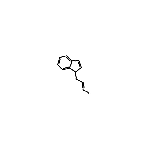 O/N=C/CC1C=Cc2ccccc21